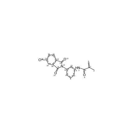 C=C(C)C(=O)Nc1cccc(N2C(=O)c3ccc(Cl)cc3C2=O)c1